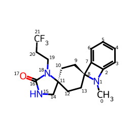 CN1c2ccccc2[C@]12CC[C@]1(CC2)CNC(=O)N1CCC(F)(F)F